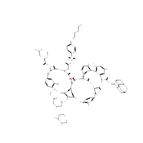 CCCCCOc1ccc(S(=O)(=O)NC(=O)C[C@@H]2NC(=O)[C@H](NC(=O)[C@@H](CC(C)C)NC)[C@H](O)c3ccc(c(C)c3)Oc3cc4cc(c3O[C@@H]3O[C@H](CO)[C@@H](O)[C@H](O)[C@H]3O[C@H]3C[C@](C)(N)[C@H](O)[C@H](C)O3)Oc3ccc(cc3Cl)[C@@H](O)[C@@H]3NC(=O)[C@H](NC(=O)[C@@H]4NC2=O)c2ccc(O)c(c2)-c2c(O)cc(O)cc2[C@@H](C(=O)NC2C4CC5CC(C4)CC2C5)NC3=O)cc1